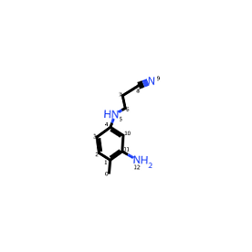 Cc1ccc(NCCC#N)cc1N